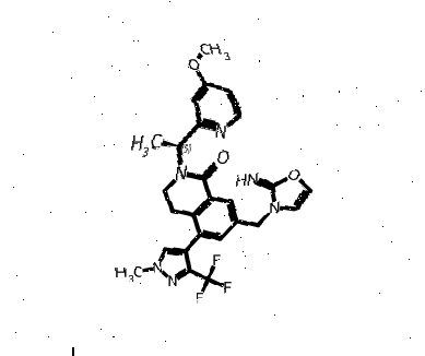 COc1ccnc([C@H](C)N2CCc3c(cc(Cn4ccoc4=N)cc3-c3cn(C)nc3C(F)(F)F)C2=O)c1